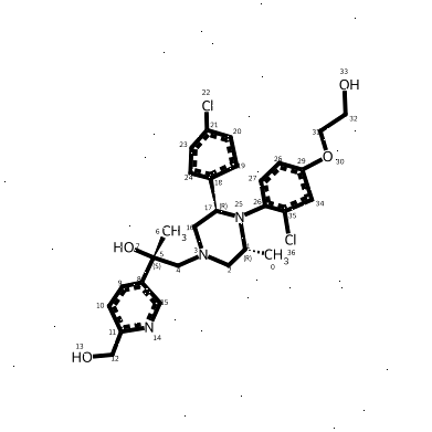 C[C@@H]1CN(C[C@@](C)(O)c2ccc(CO)nc2)C[C@@H](c2ccc(Cl)cc2)N1c1ccc(OCCO)cc1Cl